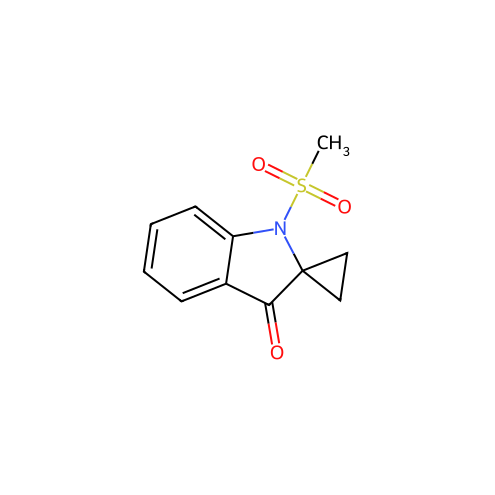 CS(=O)(=O)N1c2ccccc2C(=O)C12CC2